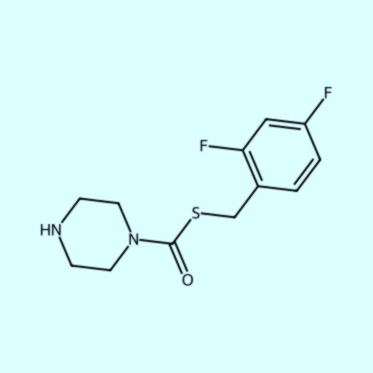 O=C(SCc1ccc(F)cc1F)N1CCNCC1